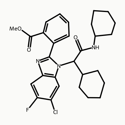 COC(=O)c1ccccc1-c1nc2cc(F)c(Cl)cc2n1C(C(=O)NC1CCCCC1)C1CCCCC1